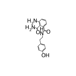 NC(=O)c1c(N)cccc1C(=O)NCCc1ccc(O)cc1